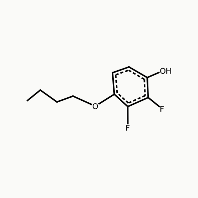 CCCCOc1ccc(O)c(F)c1F